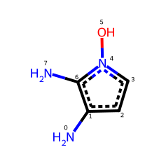 Nc1ccn(O)c1N